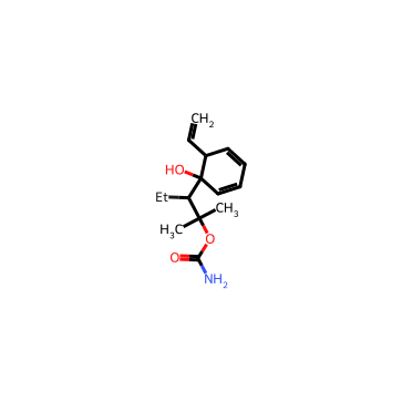 C=CC1C=CC=CC1(O)C(CC)C(C)(C)OC(N)=O